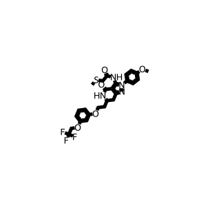 COc1ccc(-n2nc3c(c2NC(=O)CSC)C(=O)NC(CCOc2cccc(OCC(F)(F)F)c2)C3)cc1